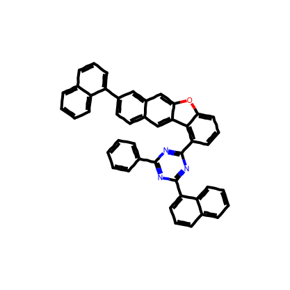 c1ccc(-c2nc(-c3cccc4ccccc34)nc(-c3cccc4oc5cc6cc(-c7cccc8ccccc78)ccc6cc5c34)n2)cc1